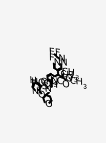 COC(=O)C(C)(C)C(c1ccc(C)c(CN2CC3(CCOCC3)Oc3ncccc3S2(O)O)n1)c1ccn2c(C(F)(F)F)nnc2c1C